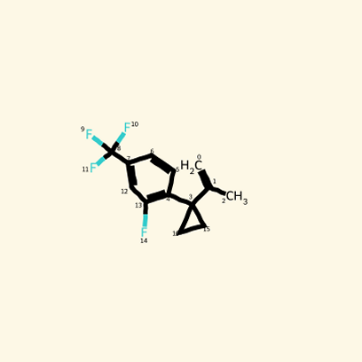 C=C(C)C1(c2ccc(C(F)(F)F)cc2F)CC1